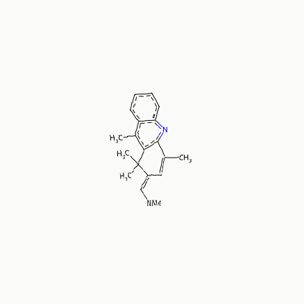 CN/C=C1\C=C(C)c2nc3ccccc3c(C)c2C1(C)C